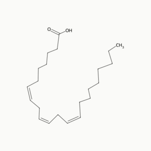 CCCCCCCC/C=C\C/C=C\C/C=C\CCCCCC(=O)O